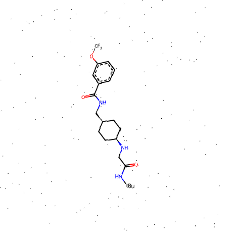 CC(C)(C)NC(=O)CN[C@H]1CC[C@@H](CNC(=O)c2cccc(OC(F)(F)F)c2)CC1